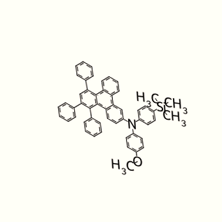 COc1ccc(N(c2ccc([Si](C)(C)C)cc2)c2ccc3c(c2)c2ccccc2c2c(-c4ccccc4)cc(-c4ccccc4)c(-c4ccccc4)c32)cc1